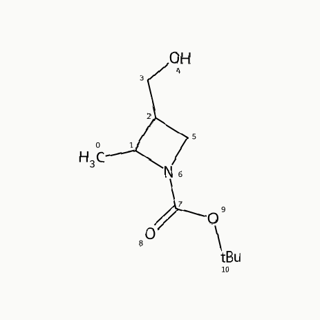 CC1C(CO)CN1C(=O)OC(C)(C)C